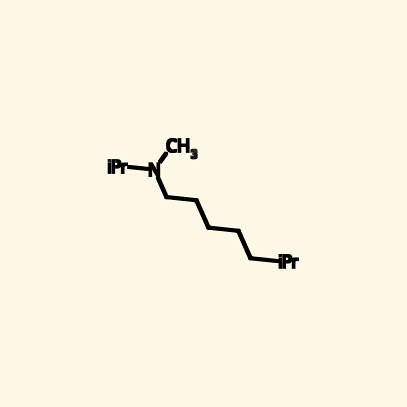 CC(C)CCCCCN(C)C(C)C